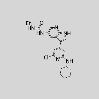 CCNC(=O)Nc1cnc2[nH]cc(-c3cc(Cl)nc(NC4CCCCC4)c3)c2c1